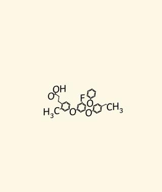 CCc1ccc(Oc2cc(F)cc(Oc3ccc(CCC(=O)O)c(C)c3)c2)c(Oc2ccccc2)c1